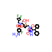 COC(=O)N[C@H](C(=O)NCc1ccc([C@@H](CO)N(CC2CC(F)(F)C2)S(=O)(=O)c2ccc(N)c(F)c2)s1)C(c1ccccc1)c1ccccc1